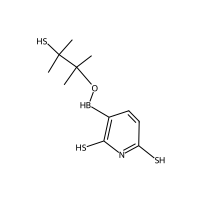 CC(C)(S)C(C)(C)OBc1ccc(S)nc1S